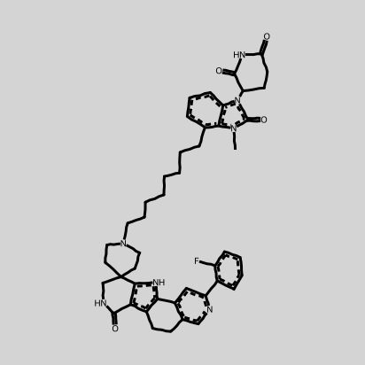 Cn1c(=O)n(C2CCC(=O)NC2=O)c2cccc(CCCCCCCCN3CCC4(CC3)CNC(=O)c3c4[nH]c4c3CCc3cnc(-c5ccccc5F)cc3-4)c21